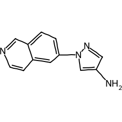 Nc1cnn(-c2ccc3cnccc3c2)c1